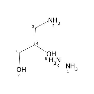 N.N.NCC(O)CO